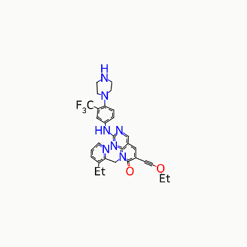 CCOC#Cc1cc2cnc(Nc3ccc(N4CCNCC4)c(C(F)(F)F)c3)nc2n(Cc2ncccc2CC)c1=O